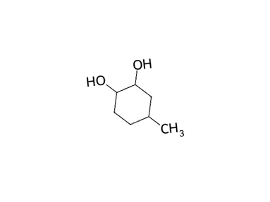 CC1CCC(O)C(O)C1